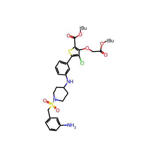 CC(C)(C)OC(=O)COc1c(C(=O)OC(C)(C)C)sc(-c2cccc(NC3CCN(S(=O)(=O)Cc4cccc(N)c4)CC3)c2)c1Cl